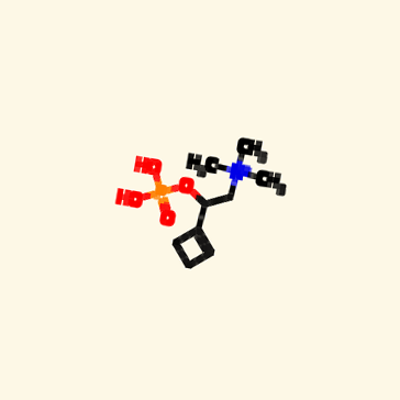 C[N+](C)(C)CC(OP(=O)(O)O)C1=CCC1